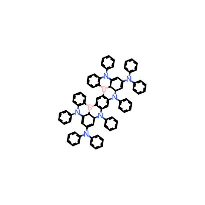 C1=C(N(c2ccccc2)c2ccccc2)C=C2C3B(c4ccccc4N2c2ccccc2)c2cc4c(cc2N(c2ccccc2)C13)N(c1ccccc1)C1C=C(N(c2ccccc2)c2ccccc2)C=C2C1B4c1ccccc1N2c1ccccc1